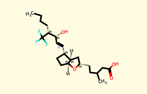 CCCC[C@H]([C@H](O)/C=C/[C@H]1CC[C@@H]2O[C@@H](CCC(C)CC(=O)O)C[C@@H]21)C(F)(F)F